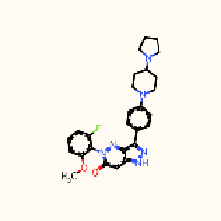 COc1cccc(F)c1-n1nc2c(-c3ccc(N4CCC(N5CCCC5)CC4)cc3)n[nH]c2cc1=O